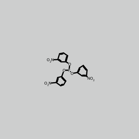 O=[N+]([O-])c1cccc(OP(Oc2cccc([N+](=O)[O-])c2)Oc2cccc([N+](=O)[O-])c2)c1